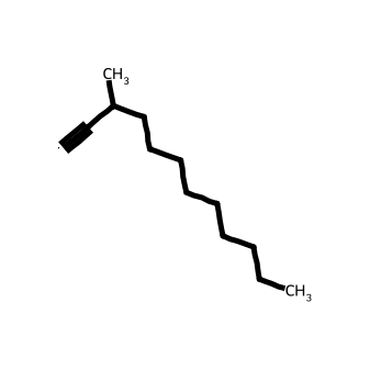 [C]#C[C](C)CCCCCCCCC